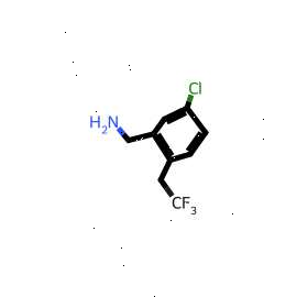 NCc1cc(Cl)ccc1CC(F)(F)F